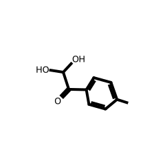 Cc1ccc(C(=O)C(O)O)cc1